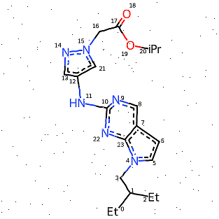 CCC(CC)Cn1ccc2cnc(Nc3cnn(CC(=O)OC(C)C)c3)nc21